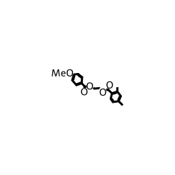 COc1ccc(C(=O)OCCOC(=O)c2ccc(C)cc2C)cc1